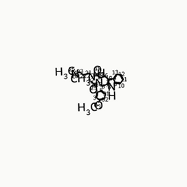 COc1ccc([C@H]2c3[nH]c4ccccc4c3C[C@@H]3C(=O)N(CCCN(C)C)CC(=O)N23)cc1